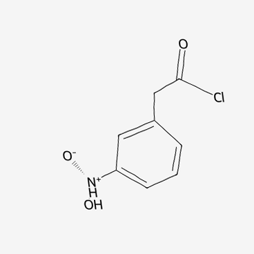 O=C(Cl)Cc1cccc([N@@H+]([O-])O)c1